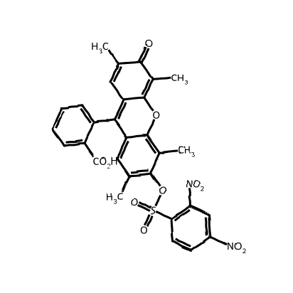 Cc1cc2c(-c3ccccc3C(=O)O)c3cc(C)c(=O)c(C)c-3oc2c(C)c1OS(=O)(=O)c1ccc([N+](=O)[O-])cc1[N+](=O)[O-]